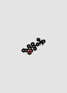 c1ccc(-c2cc3ccccc3cc2-c2c3ccccc3c(-c3c4ccccc4c(-c4ccc(-c5nc6ccccc6n5-c5ccccc5)cc4)c4ccccc34)c3ccccc23)cc1